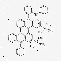 C[Si](C)(C)c1cc2c3c(c1)N1c4cc([Si](C)(C)C)cc5c4B(c4ccccc4N5c4ccccc4)c4cccc(c41)B3c1ccccc1N2c1ccccc1